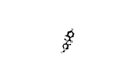 CC1CN(C=O)CCC1N(C)C(=O)c1ccc(Cl)cc1F